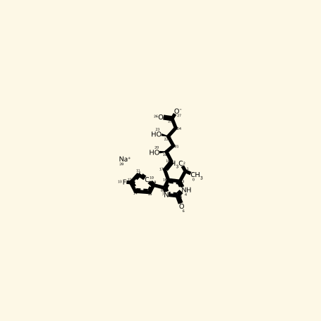 CC(C)c1[nH]c(=O)nc(-c2ccc(F)cc2)c1/C=C/[C@@H](O)C[C@@H](O)CC(=O)[O-].[Na+]